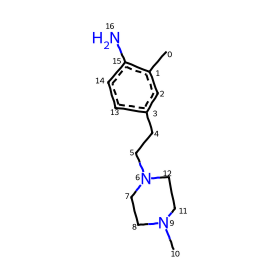 Cc1cc(CCN2CCN(C)CC2)ccc1N